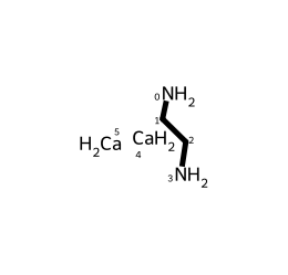 NCCN.[CaH2].[CaH2]